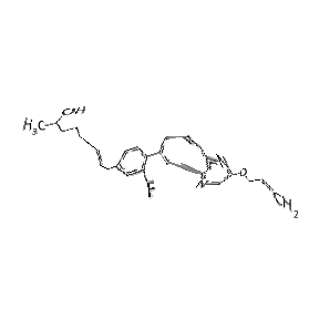 C=CCOc1cnc2cc(-c3ccc(/C=C/CCCC(C)O)cc3F)ccc2n1